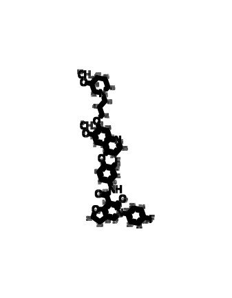 COc1cc2c(Oc3ccc(NC(=O)c4c5c(cn(-c6ccc(F)cc6)c4=O)CCO5)cc3F)ccnc2cc1OCCCN1CCCC(OC)C1